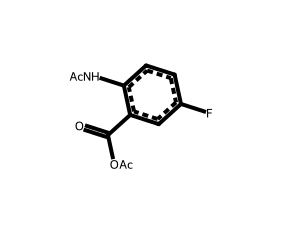 CC(=O)Nc1ccc(F)cc1C(=O)OC(C)=O